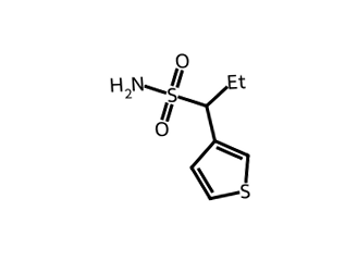 CCC(c1ccsc1)S(N)(=O)=O